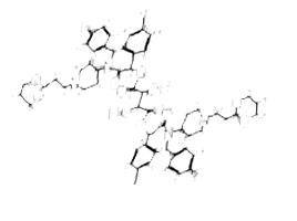 Cc1ccc(C(OC(=O)C(O)C(O)C(=O)OC(C(=O)N(Cc2ccc(F)cc2)C2CCN(CCC3OCCCO3)CC2)c2ccc(C)cc2)C(=O)N(Cc2ccc(F)cc2)C2CCN(CCC3OCCCO3)CC2)cc1